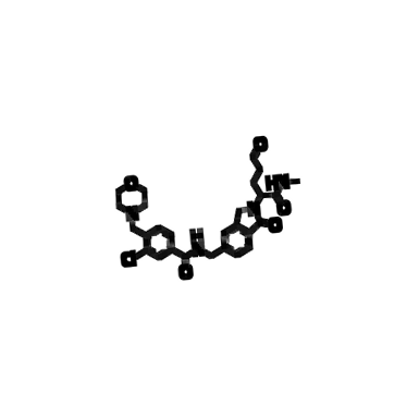 CNC(=O)C(CCC=O)N1Cc2cc(CNC(=O)c3ccc(CN4CCOCC4)c(Cl)c3)ccc2C1=O